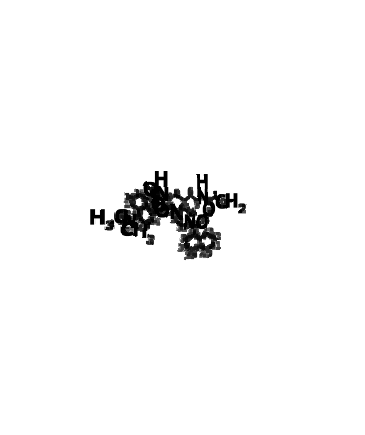 C=CC(=O)NCCCC[C@H](NS(=O)(=O)c1cccc2c(N(C)C)cccc12)C(=O)N1CCN(C(=O)c2cccc3ccccc23)CC1